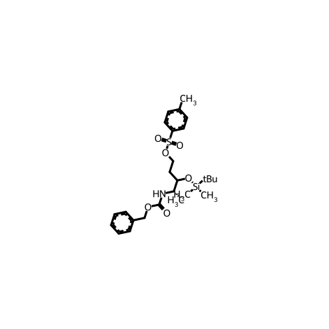 Cc1ccc(S(=O)(=O)OCCC(O[Si](C)(C)C(C)(C)C)[C@H](C)NC(=O)OCc2ccccc2)cc1